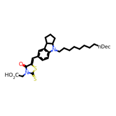 CCCCCCCCCCCCCCCCCCN1c2ccc(/C=C3\SC(=S)N(CC(=O)O)C3=O)cc2C2CCCC21